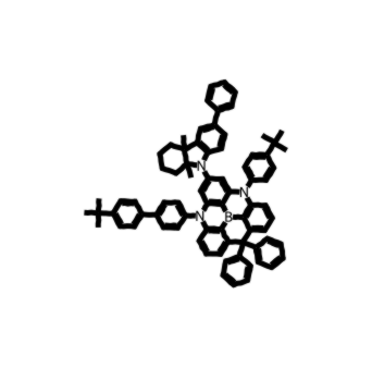 CC(C)(C)c1ccc(-c2ccc(N3c4cc(N5c6ccc(-c7ccccc7)cc6C6(C)CCCCC56C)cc5c4B4c6c3cccc6C(c3ccccc3)(c3ccccc3)c3cccc(c34)N5c3ccc(C(C)(C)C)cc3)cc2)cc1